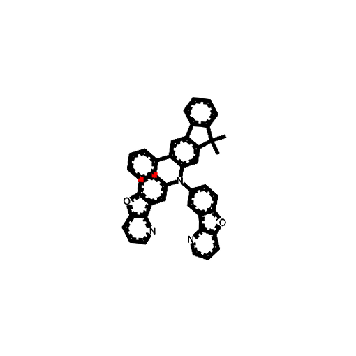 CC1(C)c2ccccc2-c2cc(-c3ccccc3)c(N(c3ccc4oc5cccnc5c4c3)c3ccc4oc5cccnc5c4c3)cc21